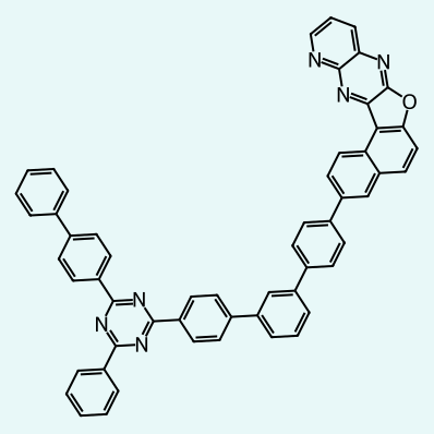 c1ccc(-c2ccc(-c3nc(-c4ccccc4)nc(-c4ccc(-c5cccc(-c6ccc(-c7ccc8c(ccc9oc%10nc%11cccnc%11nc%10c98)c7)cc6)c5)cc4)n3)cc2)cc1